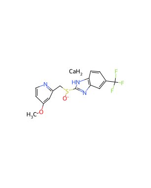 COc1ccnc(C[S+]([O-])c2nc3cc(C(F)(F)F)ccc3[nH]2)c1.[CaH2]